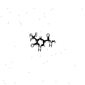 CNC(=O)c1c[nH]c(=O)c(C(F)(F)F)c1